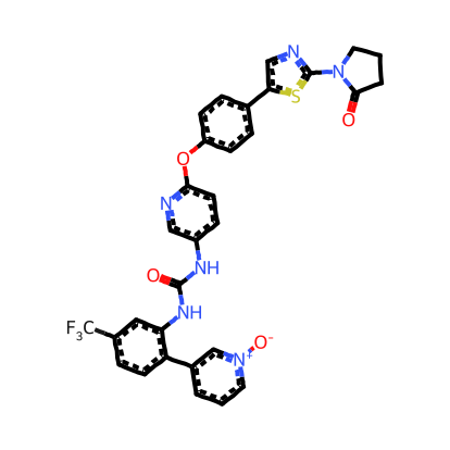 O=C(Nc1ccc(Oc2ccc(-c3cnc(N4CCCC4=O)s3)cc2)nc1)Nc1cc(C(F)(F)F)ccc1-c1ccc[n+]([O-])c1